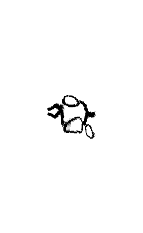 C=C1COC(CC)(CC)COC1=O